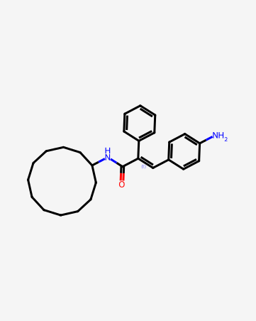 Nc1ccc(/C=C(/C(=O)NC2CCCCCCCCCCC2)c2ccccc2)cc1